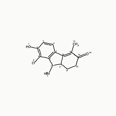 CCCCC1c2c(ccc(O)c2Cl)C2=C(C)C(=O)CCC21